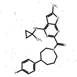 Cc1cc2c(NC3(C)CC3)nc(C(=O)N3CCCC(c4ccc(F)cc4)CC3)nc2o1